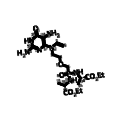 C=CN(CCOCP(=O)(N[C@@H](C)C(=O)OCC)N[C@@H](C)C(=O)OCC)c1nc(N)[nH]c(=O)c1N